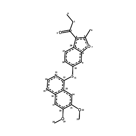 CCC(=O)c1c(C)oc2cc(Sc3ncnc4cc(OC)c(OC)cc34)ccc12